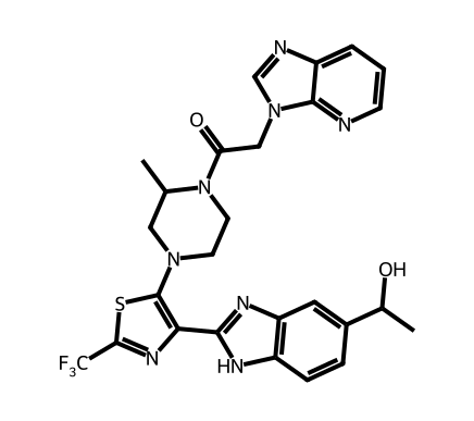 CC(O)c1ccc2[nH]c(-c3nc(C(F)(F)F)sc3N3CCN(C(=O)Cn4cnc5cccnc54)C(C)C3)nc2c1